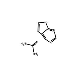 NC(N)=O.c1ncc2cc[nH]c2n1